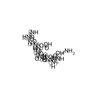 CC(C)C[C@H](NC(=O)[C@@H]1CCCN1C(=O)[C@@H](NC(=O)[C@@H]1CCCN1C(=O)[C@H](CCC(=O)O)NC(=O)[C@H](C)NC(=O)[C@@H]1CCCN1C(=O)[C@H](CC(C)C)NC(=O)[C@@H]1CCCN1)C(C)C)C(=O)N[C@H](C(=O)N[C@@H](CCCCN)C(=O)O)C(C)C